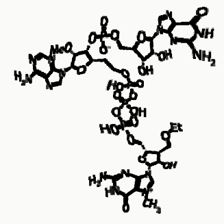 CCOC[C@H]1[C@@H](O)[C@H](n2c[n+](C)c3c(=O)[nH]c(N)nc32)O[C@@H]1COP(=O)(O)OP(=O)(O)OP(=O)(O)OCC[C@H]1O[C@@H](n2cnc3c(N)ncnc32)[C@H](OC)[C@@H]1OP(=O)([O-])OC[C@H]1O[C@@H](n2cnc3c(=O)[nH]c(N)nc32)[C@H](O)[C@@H]1O